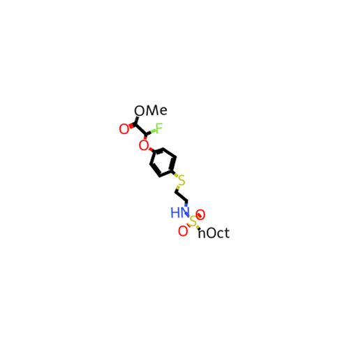 CCCCCCCCS(=O)(=O)NCCSc1ccc(OC(F)C(=O)OC)cc1